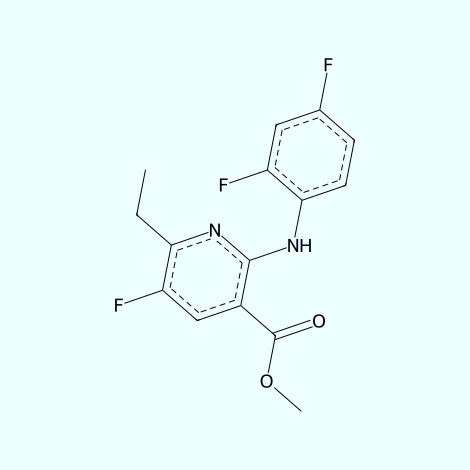 CCc1nc(Nc2ccc(F)cc2F)c(C(=O)OC)cc1F